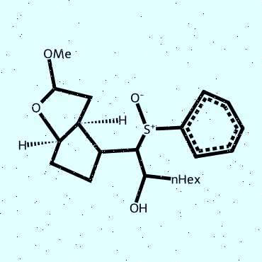 CCCCCCC(O)C(C1CC[C@H]2OC(OC)C[C@@H]12)[S+]([O-])c1ccccc1